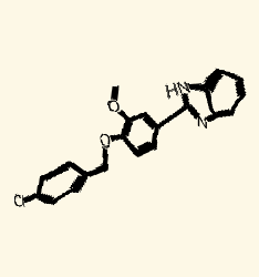 COc1cc(-c2nc3ccccc3[nH]2)ccc1OCc1ccc(Cl)cc1